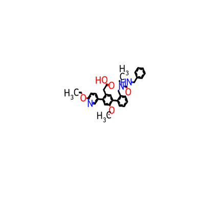 CCOc1ccc(-c2cc(OC)c(-c3ccccc3CN(CC)C(=O)NCc3ccccc3)cc2CC(=O)O)cn1